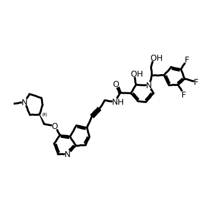 CN1CCC[C@@H](COc2ccnc3ccc(C#CCNC(=O)C4=CC=CN(C(CO)c5cc(F)c(F)c(F)c5)C4O)cc23)C1